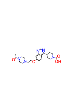 CC(=O)N1CCN(CCOc2ccc3c(C4CCN(C(=O)O)CC4)ncnc3c2)CC1